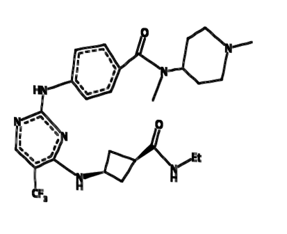 CCNC(=O)[C@H]1C[C@@H](Nc2nc(Nc3ccc(C(=O)N(C)C4CCN(C)CC4)cc3)ncc2C(F)(F)F)C1